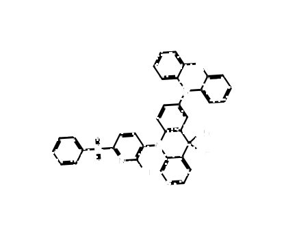 Cc1nc(S(=O)(=O)c2ccccc2)ccc1N1c2ccccc2C(C)(C)c2cc(N3c4ccccc4Sc4ccccc43)ccc21